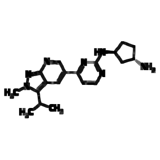 CC(C)c1c2cc(-c3ccnc(N[C@H]4CC[C@H](N)C4)n3)cnc2nn1C